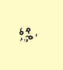 COCCc1ccc(OCC(O)CNC(C)C)cc1.Clc1ccc(COC(Cn2ccnc2)c2ccc(Cl)cc2Cl)c(Cl)c1.O=C(O)C(O)C(O)C(=O)O